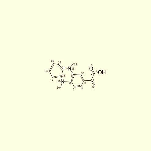 C=C(C(=O)O)c1ccc2c(c1)N(C)c1ccccc1N2C